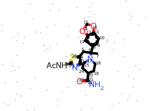 CC(=O)Nc1ncc(CC(C)(c2ccc3c(c2)OCO3)N2CCC(C(N)=O)CC2)s1